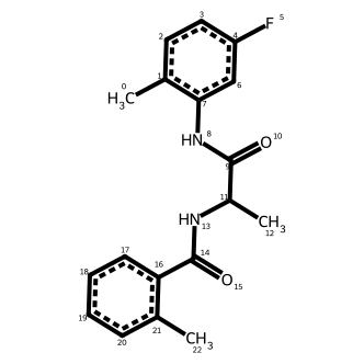 Cc1ccc(F)cc1NC(=O)C(C)NC(=O)c1ccccc1C